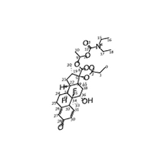 CCC(=O)O[C@]1(C(=O)OC(C)OC(=O)N(CC)CC)[C@@H](C)C[C@H]2[C@@H]3CCC4=CC(=O)C=C[C@]4(C)[C@@]3(F)[C@@H](O)C[C@@]21C